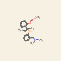 CCC(C)(Pc1ccccc1CN(C)C)c1ccccc1OCOC